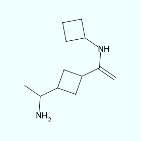 C=C(NC1CCC1)C1CC(C(C)N)C1